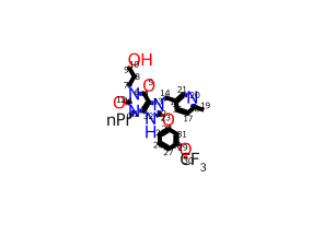 CCCn1c2c(c(=O)n(CCCO)c1=O)N(Cc1ccc(C)nc1)C(Oc1cccc(OC(F)(F)F)c1)N2